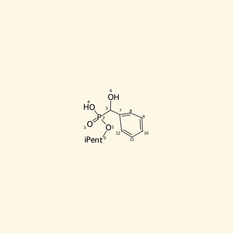 CCCC(C)OP(=O)(O)C(O)c1ccccc1